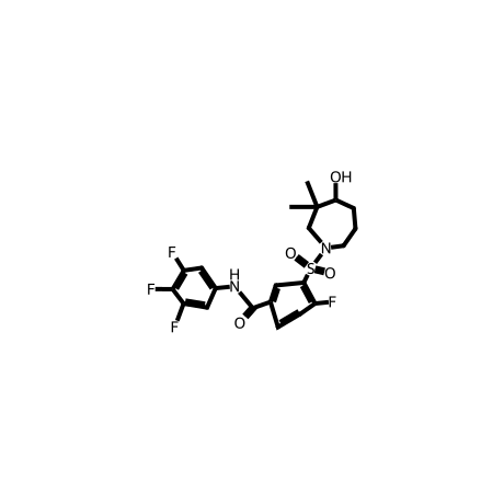 CC1(C)CN(S(=O)(=O)c2cc(C(=O)Nc3cc(F)c(F)c(F)c3)ccc2F)CCCC1O